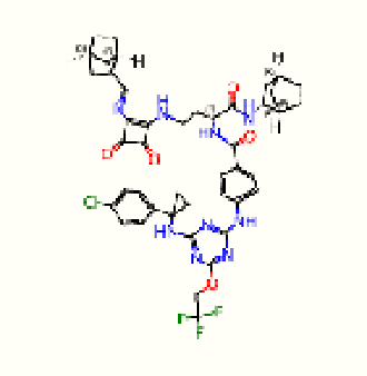 O=C(N[C@@H](CCNc1c(N=CC2C[C@H]3CC[C@@H]2C3)c(=O)c1=O)C(=O)N[C@@H]1C[C@H]2CC[C@@H]1C2)c1ccc(Nc2nc(NC3(c4ccc(Cl)cc4)CC3)nc(OCC(F)(F)F)n2)cc1